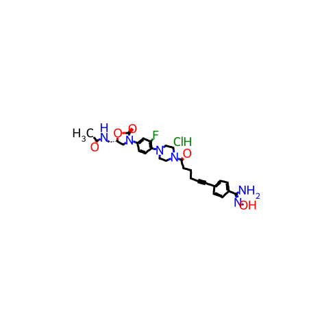 CC(=O)NC[C@H]1CN(c2ccc(N3CCN(C(=O)CCCC#Cc4ccc(/C(N)=N/O)cc4)CC3)c(F)c2)C(=O)O1.Cl